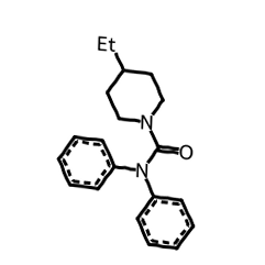 CCC1CCN(C(=O)N(c2ccccc2)c2ccccc2)CC1